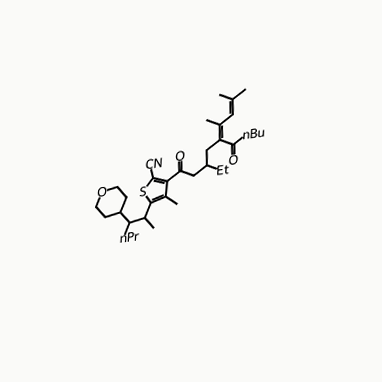 CCCCC(=O)/C(CC(CC)CC(=O)c1c(C#N)sc(C(C)C(CCC)C2CCOCC2)c1C)=C(/C)C=C(C)C